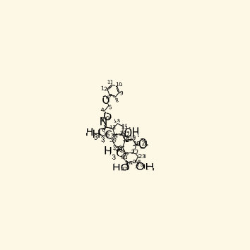 C/C(=N/OCCOc1ccccc1)C1CC[C@@]2(O)C3=CC(=O)C4CC(O)C(O)CC4(C)C3CCC12C